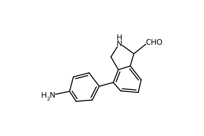 Nc1ccc(-c2cccc3c2CNC3C=O)cc1